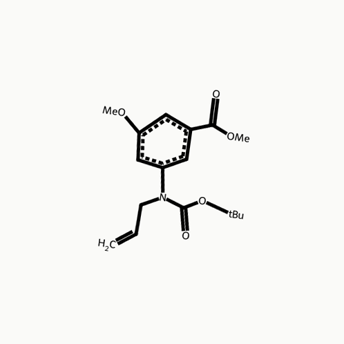 C=CCN(C(=O)OC(C)(C)C)c1cc(OC)cc(C(=O)OC)c1